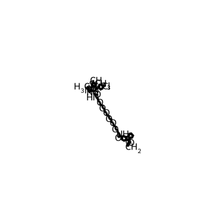 C=CC(=O)n1c2ccccc2c2cc(C(=O)NCCOCCOCCOCCOCCOCCOCCNC(=O)C[C@@H]3N=C(c4ccc(Cl)cc4)c4c(sc(C)c4C)-n4c(C)nnc43)ccc21